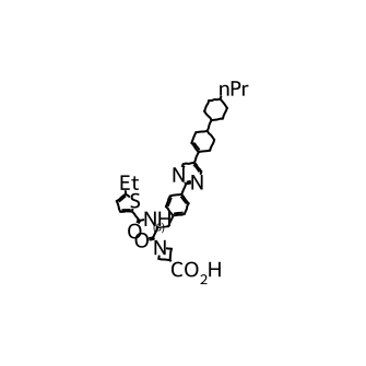 CCCC1CCC(C2CC=C(c3cnc(-c4ccc(C[C@H](NC(=O)c5ccc(CC)s5)C(=O)N5CC(C(=O)O)C5)cc4)nc3)CC2)CC1